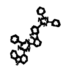 c1ccc(-c2nc(-c3ccccc3)nc(-c3ccc4sc5c(-c6nc(-c7ccccc7)nc(-c7cccc8sc9ccccc9c78)n6)cccc5c4c3)n2)cc1